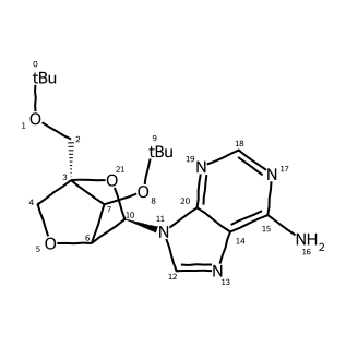 CC(C)(C)OC[C@@]12COC(C1OC(C)(C)C)[C@H](n1cnc3c(N)ncnc31)O2